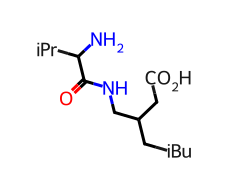 CCC(C)CC(CNC(=O)C(N)C(C)C)CC(=O)O